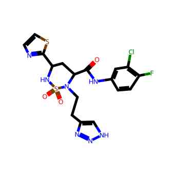 O=C(Nc1ccc(F)c(Cl)c1)C1CC(c2nccs2)NS(=O)(=O)N1CCc1c[nH]nn1